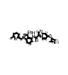 CCc1nn(Cc2cccc(C)n2)c2cccc(NC(=O)c3cnc4cc(OC5CNC5)ccn34)c12